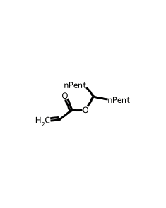 C=CC(=O)OC(CCCCC)CCCCC